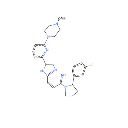 CON1CCN(c2cccc(C3CN=C(/C=C\C(=N)N4CCCC4c4cccc(F)c4)N3)n2)CC1